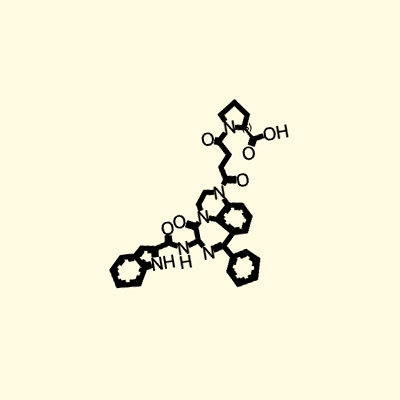 O=C(NC1N=C(c2ccccc2)c2cccc3c2N(CCN3C(=O)CCC(=O)N2CCC[C@H]2C(=O)O)C1=O)c1cc2ccccc2[nH]1